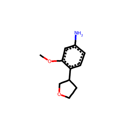 COc1cc(N)ccc1C1CCOC1